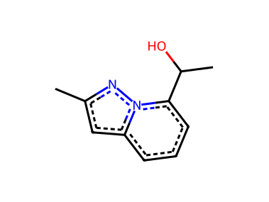 Cc1cc2cccc(C(C)O)n2n1